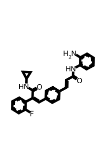 Nc1ccccc1NC(=O)/C=C/c1ccc(C=C(C(=O)NC2CC2)c2ccccc2F)cc1